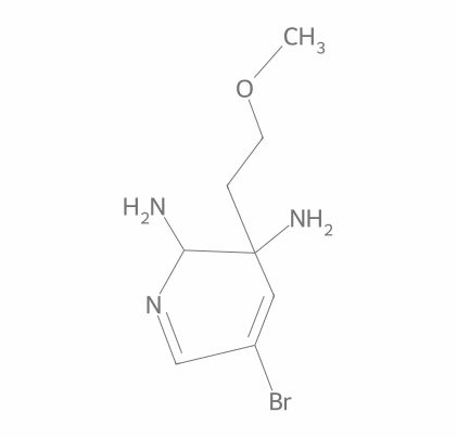 COCCC1(N)C=C(Br)C=NC1N